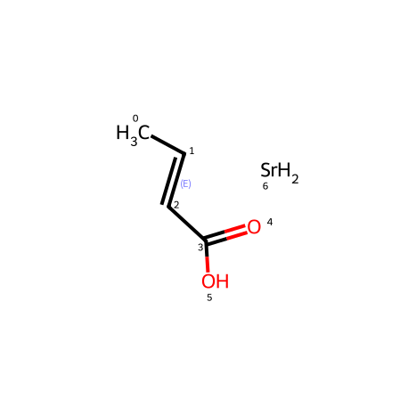 C/C=C/C(=O)O.[SrH2]